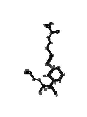 COC(=O)CCCC=Cc1cccc(C(=O)N(C)CCO)c1